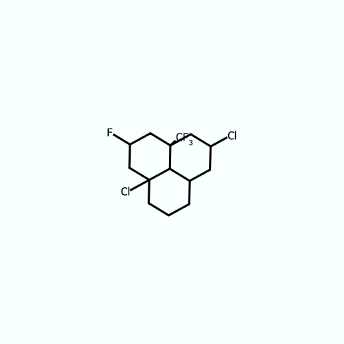 FC1CC2(Cl)CCCC3CC(Cl)CC(C(F)(F)F)(C1)C32